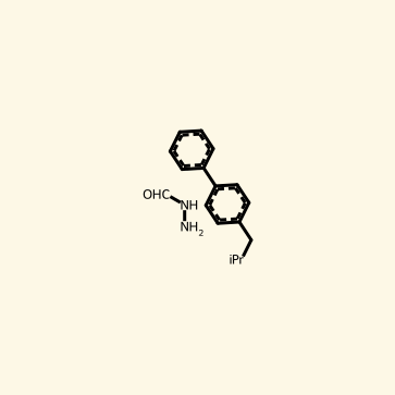 CC(C)Cc1ccc(-c2ccccc2)cc1.NNC=O